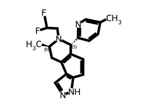 Cc1ccc([C@@H]2c3ccc4[nH]ncc4c3C[C@@H](C)N2CC(F)F)nc1